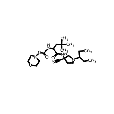 CCC(CC)N1CCC(C#N)(NC(=O)C(CC(C)(C)C)NC(=O)ON2CCOCC2)C1